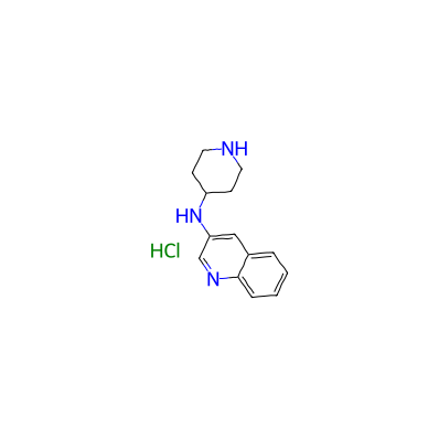 Cl.c1ccc2ncc(NC3CCNCC3)cc2c1